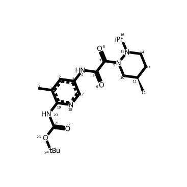 Cc1cc(NC(=O)C(=O)N2C[C@H](C)CCN2C(C)C)cnc1NC(=O)OC(C)(C)C